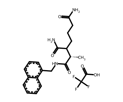 C[C@H](C(=O)NCc1cccc2ccccc12)C(CCCC(N)=O)C(N)=O.O=C(O)C(F)(F)F